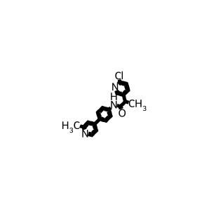 Cc1cc(-c2ccc(NC(=O)C(C)c3ccc(Cl)nc3)cc2)ccn1